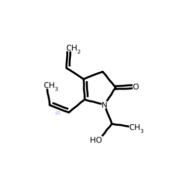 C=CC1=C(/C=C\C)N(C(C)O)C(=O)C1